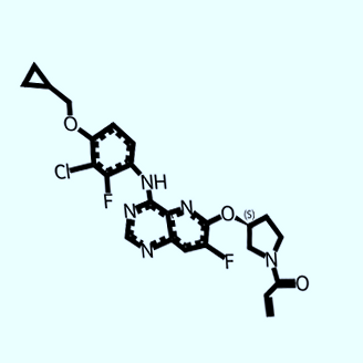 C=CC(=O)N1CC[C@H](Oc2nc3c(Nc4ccc(OCC5CC5)c(Cl)c4F)ncnc3cc2F)C1